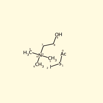 CC(=O)SI.C[N+](C)(C)CCO